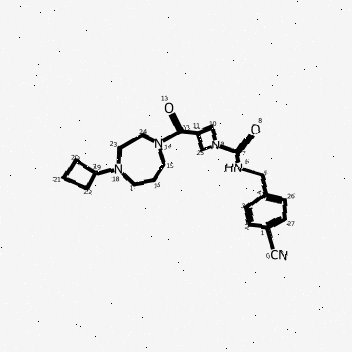 N#Cc1ccc(CNC(=O)N2CC(C(=O)N3CCCN(C4CCC4)CC3)C2)cc1